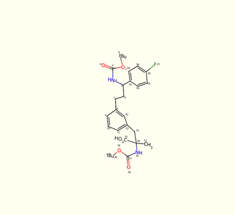 CC(C)(C)OC(=O)NC(CCc1cccc(CC(C)(NC(=O)OC(C)(C)C)C(=O)O)c1)c1ccc(F)cc1